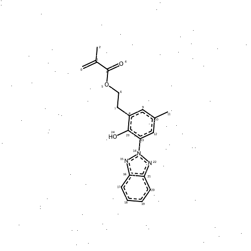 C=C(C)C(=O)OCCc1cc(C)cc(-n2nc3ccccc3n2)c1O